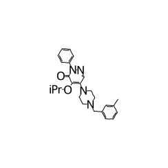 Cc1cccc(CN2CCN(c3cnn(-c4ccccc4)c(=O)c3OC(C)C)CC2)c1